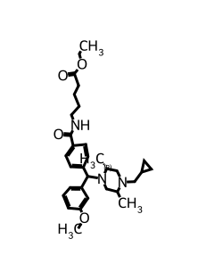 CCOC(=O)CCCCNC(=O)c1ccc(C(c2cccc(OC)c2)N2CC(C)N(CC3CC3)C[C@H]2C)cc1